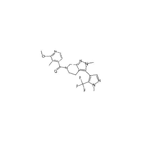 COc1nccc(C(=O)N2CCc3c(nn(C)c3-c3cnn(C)c3C(F)(F)F)C2)c1C